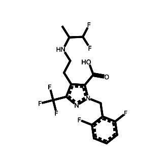 CC(NCCc1c(C(F)(F)F)nn(Cc2c(F)cccc2F)c1C(=O)O)C(F)F